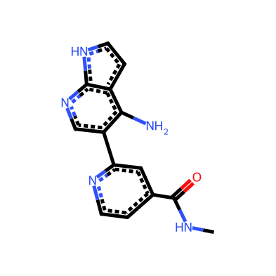 CNC(=O)c1ccnc(-c2cnc3[nH]ccc3c2N)c1